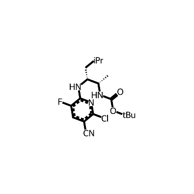 CC(C)C[C@@H](Nc1nc(Cl)c(C#N)cc1F)[C@H](C)NC(=O)OC(C)(C)C